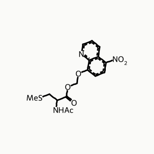 CSCC(NC(C)=O)C(=O)OCOc1ccc([N+](=O)[O-])c2cccnc12